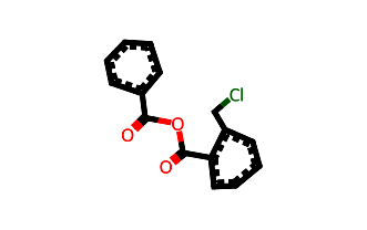 O=C(OC(=O)c1ccccc1CCl)c1ccccc1